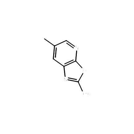 Cc1cnc2oc(C(C)(C)C)nc2c1